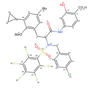 COc1c(CC(C(=O)Nc2ccc(C(=O)O)c(O)c2)N(Cc2ccc(Cl)cc2)S(=O)(=O)c2c(F)c(F)c(F)c(F)c2F)cc(C(C)(C)C)cc1C1CC1